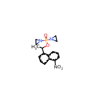 CC(OP(=O)(N1CC1)N1CC1)c1cccc2c([N+](=O)[O-])cccc12